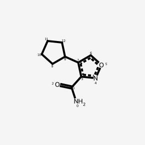 NC(=O)c1nocc1C1CCCC1